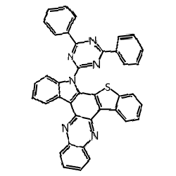 c1ccc(-c2nc(-c3ccccc3)nc(-n3c4ccccc4c4c5nc6ccccc6nc5c5c6ccccc6sc5c43)n2)cc1